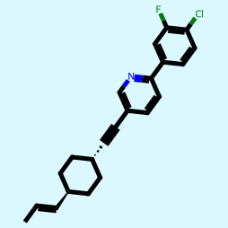 CC=C[C@H]1CC[C@H](C#Cc2ccc(-c3ccc(Cl)c(F)c3)nc2)CC1